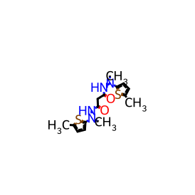 Cc1ccc(N(C)NC(=O)CC(=O)NN(C)c2ccc(C)s2)s1